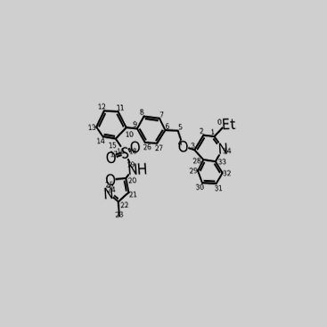 CCc1cc(OCc2ccc(-c3ccccc3S(=O)(=O)Nc3cc(C)no3)cc2)c2ccccc2n1